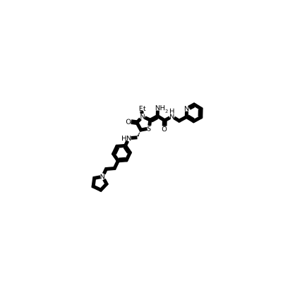 CCN1C(=O)[C@@H](CNc2ccc(CCN3CCCC3)cc2)S/C1=C(/N)C(=O)NCc1ccccn1